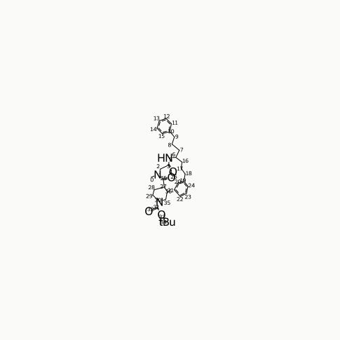 CN(CC(=O)NC(CCCc1ccccc1)CCCc1ccccc1)C(=O)C1CCN(C(=O)OC(C)(C)C)CC1